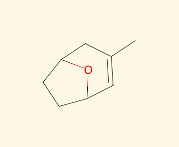 CC1=CC2CCC(C1)O2